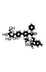 CC(C)(C)[Si](C)(C)Oc1cc(-c2ccc([C@@H]3O[C@H](CO)[C@@H](O)[C@H](O)[C@H]3O)cc2)ccc1[C@@H]1[C@@H](CCC(O[Si](C)(C)C(C)(C)C)c2ccc(F)cc2)C(=O)N1c1ccccc1